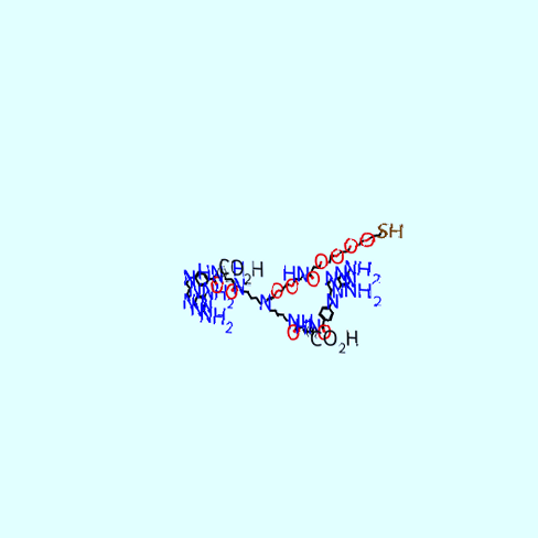 CN(Cc1cnc2nc(N)nc(N)c2n1)c1ccc(C(=O)N[C@@H](CCC(=O)NCCCCCN(CCCCCNC(=O)CC[C@H](NC(=O)c2ccc(N(C)Cc3cnc4nc(N)nc(N)c4n3)cc2)C(=O)O)CCOCCOCCNC(=O)CCOCCOCCOCCOCCS)C(=O)O)cc1